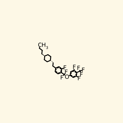 CCCC[C@H]1CC[C@H](CCc2ccc(C(F)(F)Oc3cc(F)c(C(F)(F)F)c(F)c3)c(F)c2)CC1